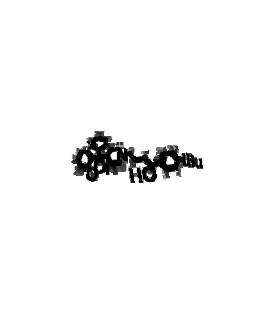 CC(C)(C)c1ccc(C(O)CCCN2CCC(C(O)(C3=CC=CCC3=O)c3ccccc3)CC2)cc1